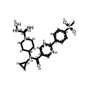 CS(=O)(=O)c1ccc(-c2ncc(C(=O)N(C3CC3)C3CCN(C(=N)NO)CC3)cn2)cc1